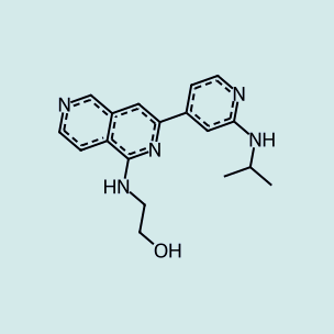 CC(C)Nc1cc(-c2cc3cnccc3c(NCCO)n2)ccn1